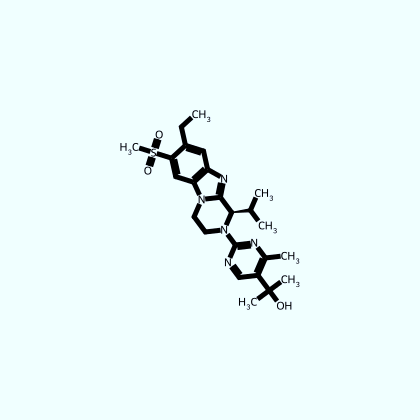 CCc1cc2nc3n(c2cc1S(C)(=O)=O)CCN(c1ncc(C(C)(C)O)c(C)n1)[C@@H]3C(C)C